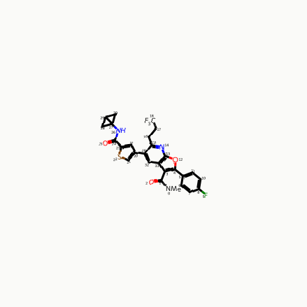 CNC(=O)c1c(-c2ccc(F)cc2)oc2nc(CCC(F)(F)F)c(-c3csc(C(=O)NC45CC4C5)c3)cc12